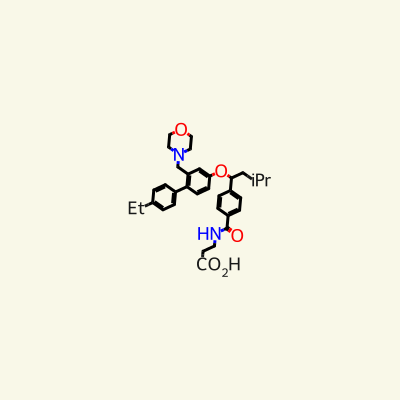 CCc1ccc(-c2ccc(OC(CC(C)C)c3ccc(C(=O)NCCC(=O)O)cc3)cc2CN2CCOCC2)cc1